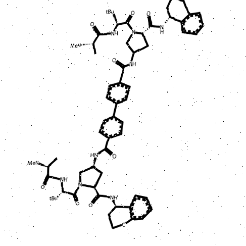 CN[C@@H](C)C(=O)N[C@H](C(=O)N1CC(NC(=O)c2ccc(-c3ccc(C(=O)N[C@H]4C[C@@H](C(=O)N[C@@H]5CCCc6ccccc65)N(C(=O)[C@@H](NC(=O)[C@H](C)NC)C(C)(C)C)C4)cc3)cc2)C[C@H]1C(=O)N[C@@H]1CCCc2ccccc21)C(C)(C)C